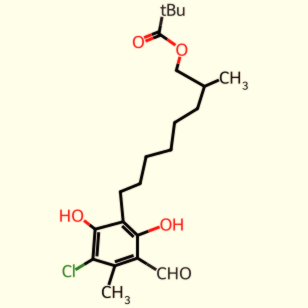 Cc1c(Cl)c(O)c(CCCCCCC(C)COC(=O)C(C)(C)C)c(O)c1C=O